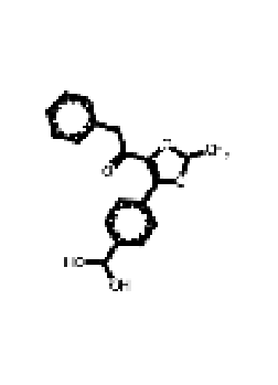 CC1OC(C(=O)Cc2ccccc2)=C(c2ccc(C(O)O)cc2)O1